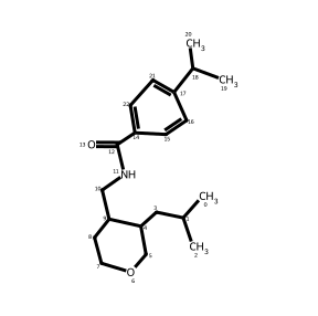 CC(C)CC1COCCC1CNC(=O)c1ccc(C(C)C)cc1